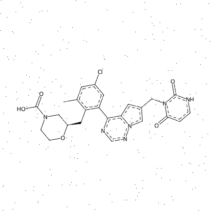 Cc1cc(Cl)cc(-c2ncnn3cc(Cn4c(=O)cc[nH]c4=O)cc23)c1C[C@@H]1CN(C(=O)O)CCO1